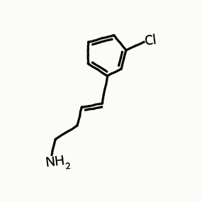 NCCC=Cc1cccc(Cl)c1